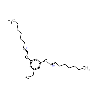 CCCCCC/C=C/Oc1cc(C[O])cc(O/C=C/CCCCCC)c1